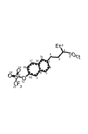 CCCCCCCCC(CC)CCc1ccc2cc(OS(=O)(=O)C(F)(F)F)ccc2c1